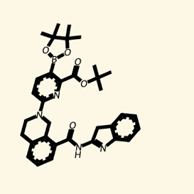 CC(C)(C)OC(=O)c1nc(N2CCc3cccc(C(=O)NC4=Nc5ccccc5C4)c3C2)ccc1B1OC(C)(C)C(C)(C)O1